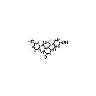 O=C1C=C(O)/C(=N/c2ccc(O)cc2)C(CO)=C1Nc1ccc(O)cc1